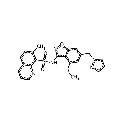 COc1cc(Cn2cccn2)cc2onc(NS(=O)(=O)c3c(C)ccc4cccnc34)c12